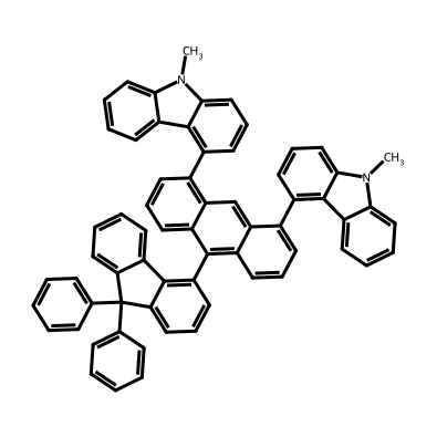 Cn1c2ccccc2c2c(-c3cccc4c(-c5cccc6c5-c5ccccc5C6(c5ccccc5)c5ccccc5)c5cccc(-c6cccc7c6c6ccccc6n7C)c5cc34)cccc21